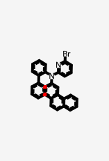 Brc1cccc(N(c2ccc3ccc4ccccc4c3c2)c2ccccc2-c2ccccc2)n1